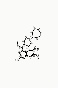 CCN(c1nc(Cl)nc2cc(OC)c(OC)cc12)C1CCN(C2CCCCCC2)CC1